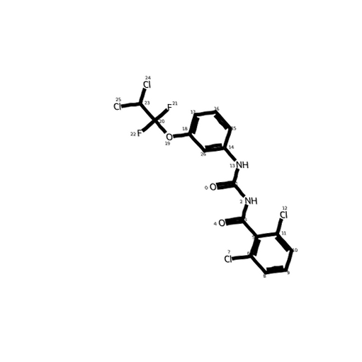 O=C(NC(=O)c1c(Cl)cccc1Cl)Nc1cccc(OC(F)(F)C(Cl)Cl)c1